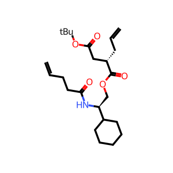 C=CCCC(=O)N[C@@H](COC(=O)[C@@H](CC=C)CC(=O)OC(C)(C)C)C1CCCCC1